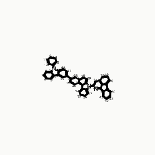 c1ccc(-n2c3ccccc3c3cc(-c4ccc5c(ccc6c5c5ccccc5n6-c5cc6cccc7c6c(n5)-c5ccccc5-7)c4)ccc32)cc1